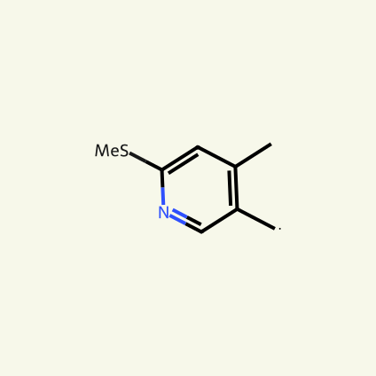 [CH2]c1cnc(SC)cc1C